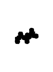 c1ccc(-c2nc(-c3ccccc3)nc(-c3ccc4c5c(cccc35)-c3cc(-n5c6ccccc6c6cc7sc8ccccc8c7cc65)ccc3N4c3ccccc3)n2)cc1